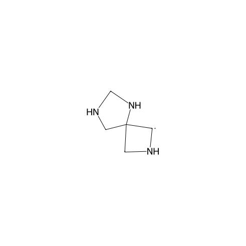 [CH]1NCC12CNCN2